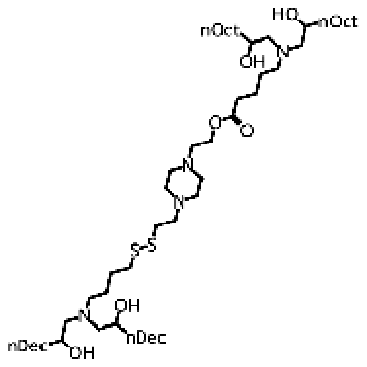 CCCCCCCCCCC(O)CN(CCCCSSCCN1CCN(CCOC(=O)CCCCN(CC(O)CCCCCCCC)CC(O)CCCCCCCC)CC1)CC(O)CCCCCCCCCC